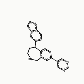 c1ncc(-c2ccc3c(c2)CNCCC3c2ccc3sccc3c2)cn1